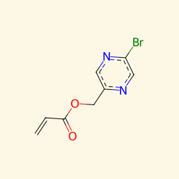 C=CC(=O)OCc1cnc(Br)cn1